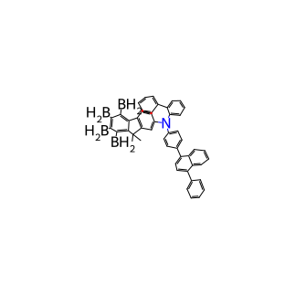 Bc1c(B)c(B)c2c(c1B)-c1ccc(N(c3ccc(-c4ccc(-c5ccccc5)c5ccccc45)cc3)c3ccccc3-c3ccccc3)cc1C2(C)C